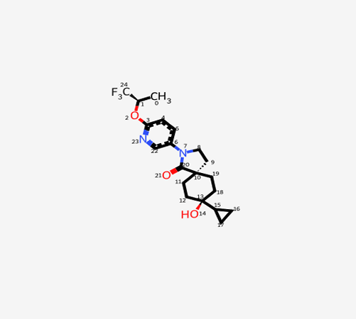 C[C@@H](Oc1ccc(N2CC[C@]3(CC[C@@](O)(C4CC4)CC3)C2=O)cn1)C(F)(F)F